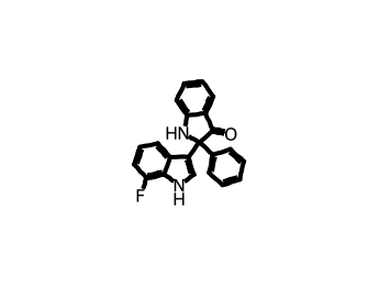 O=C1c2ccccc2NC1(c1ccccc1)c1c[nH]c2c(F)cccc12